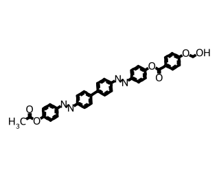 CC(=O)Oc1ccc(N=Nc2ccc(-c3ccc(N=Nc4ccc(OC(=O)c5ccc(OCO)cc5)cc4)cc3)cc2)cc1